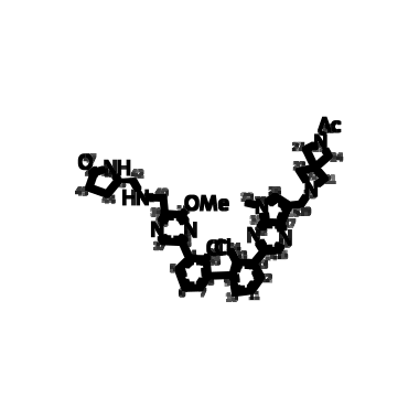 COc1nc(-c2cccc(-c3cccc(-c4cnc5c(CN6CC7(C6)CN(C(C)=O)C7)cn(C)c5n4)c3Cl)c2Cl)cnc1CNC[C@H]1CCC(=O)N1